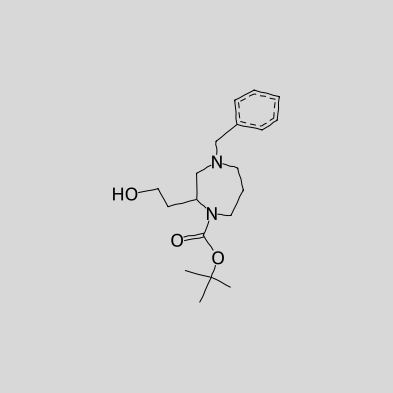 CC(C)(C)OC(=O)N1CCCN(Cc2ccccc2)CC1CCO